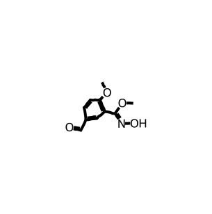 COC(=NO)c1cc(C=O)ccc1OC